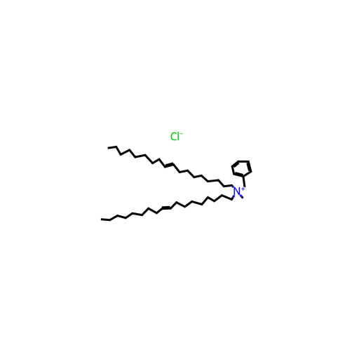 CCCCCCCCC=CCCCCCCCC[N+](C)(CCCCCCCCC=CCCCCCCCC)Cc1ccccc1.[Cl-]